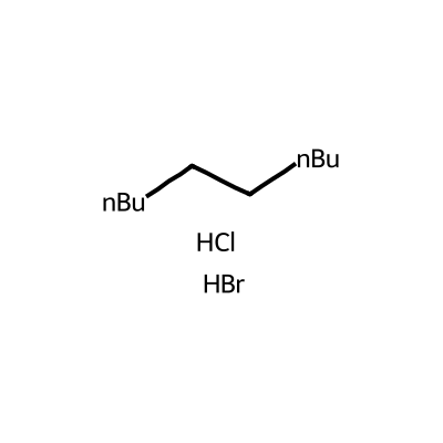 Br.CCCCCCCCCC.Cl